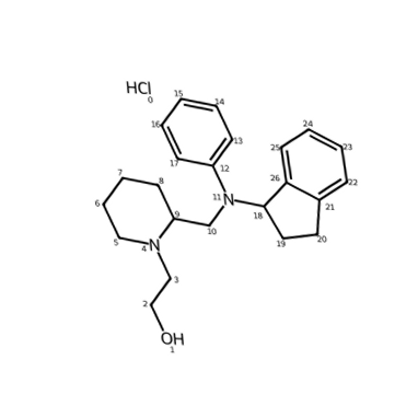 Cl.OCCN1CCCCC1CN(c1ccccc1)C1CCc2ccccc21